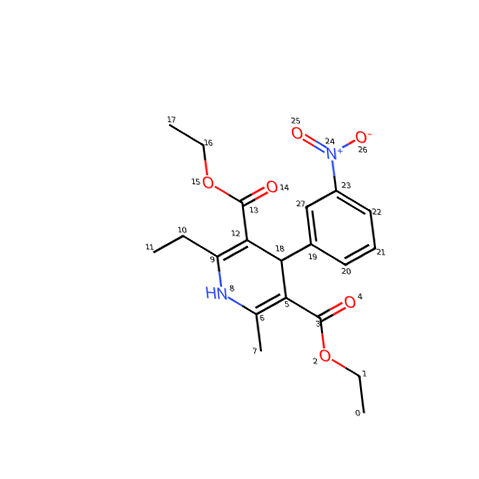 CCOC(=O)C1=C(C)NC(CC)=C(C(=O)OCC)C1c1cccc([N+](=O)[O-])c1